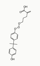 C=C(CCCOOOc1ccc(C(C)(C)c2ccc(O)cc2)cc1)C(=O)O